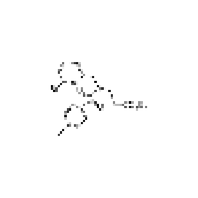 CCOC(=O)CCN(Cc1cccc(Br)c1)S(=O)(=O)c1ccc(C)cc1